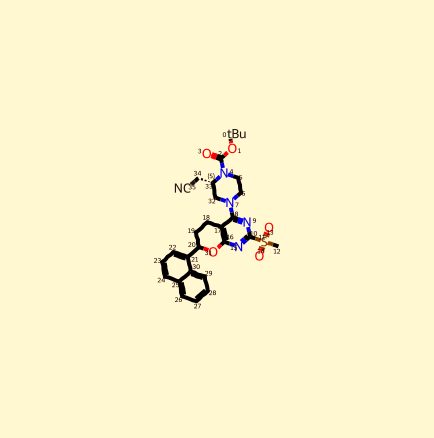 CC(C)(C)OC(=O)N1CCN(c2nc(S(C)(=O)=O)nc3c2CCC(c2cccc4ccccc24)O3)C[C@@H]1CC#N